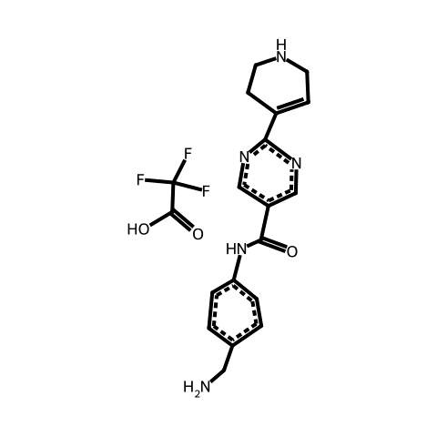 NCc1ccc(NC(=O)c2cnc(C3=CCNCC3)nc2)cc1.O=C(O)C(F)(F)F